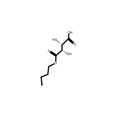 CCCCOC(=O)[C@@H](O)[C@H](O)C(=O)O